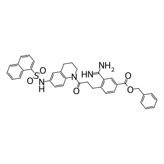 N=C(N)c1cc(C(=O)OCc2ccccc2)ccc1CCC(=O)N1CCCc2cc(NS(=O)(=O)c3cccc4ccccc34)ccc21